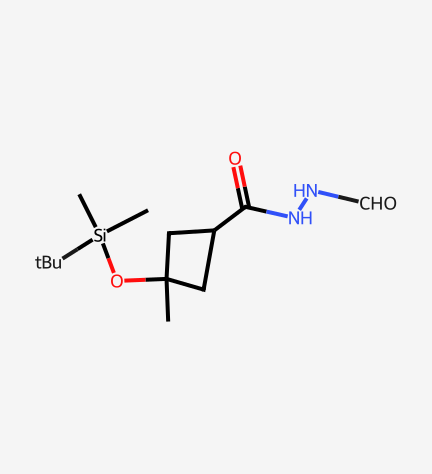 CC1(O[Si](C)(C)C(C)(C)C)CC(C(=O)NNC=O)C1